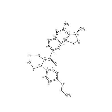 CCOc1ccc([C@@H]2COCCN2C(=O)c2cc3c4c(c(N)nc3cn2)[C@@H](C)OC4)nn1